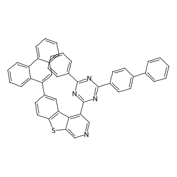 c1ccc(-c2ccc(-c3nc(-c4ccccc4)nc(-c4cncc5sc6ccc(-c7cc8ccccc8c8ccccc78)cc6c45)n3)cc2)cc1